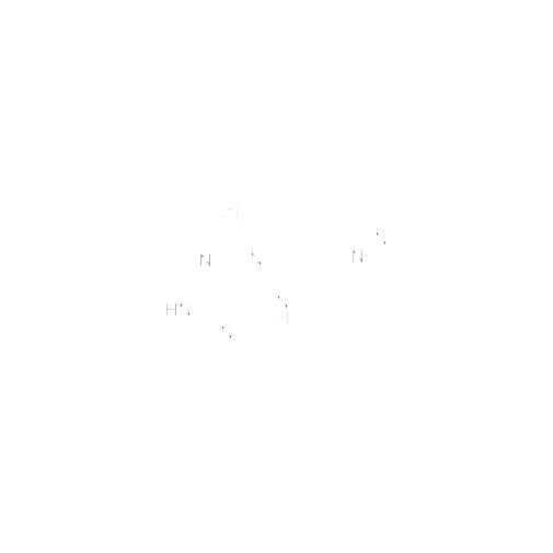 Clc1nc(NCc2ccccc2-n2cccn2)c2nc[nH]c2n1